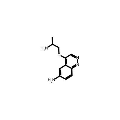 CC(N)COc1cnnc2ccc(N)cc12